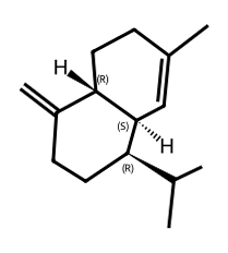 C=C1CC[C@H](C(C)C)[C@@H]2C=C(C)CC[C@@H]12